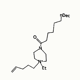 C=CCCC[N+]1(CC)CCN(C(=O)CCCCCCCCCCCCCCC)CC1